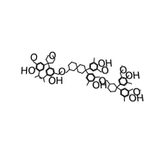 COCc1cc(C2(c3cc(C)c(O)c(COCC4CCCC(c5cc(C)c(O)c(COC)c5)(c5cc(C)c(O)c(COC)c5)C4)c3)CCC3(CCCC(COCc4cc(C5(c6cc(COC)c(O)c(C(C)C)c6)CCOCC5)cc(C(C)C)c4O)C3)CC2)cc(C)c1O